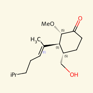 CO[C@@H]1C(=O)CC[C@H](CO)[C@H]1/C(C)=C/CCC(C)C